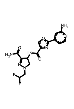 NC(=O)C1=NN(CC(F)F)CC1NC(=O)c1coc(-c2ccnc(N)c2)n1